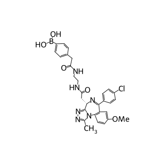 COc1ccc2c(c1)C(c1ccc(Cl)cc1)=N[C@@H](CC(=O)NCCNC(=O)Cc1ccc(B(O)O)cc1)c1nnc(C)n1-2